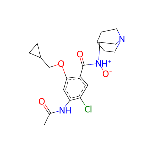 CC(=O)Nc1cc(OCC2CC2)c(C(=O)[NH+]([O-])C2CN3CCC2CC3)cc1Cl